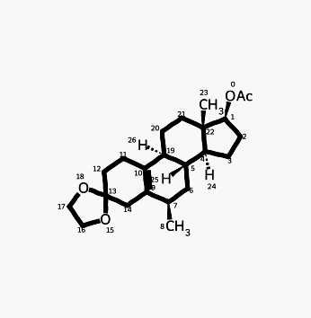 CC(=O)O[C@H]1CC[C@H]2[C@@H]3C[C@@H](C)C4=C(CCC5(C4)OCCO5)[C@H]3CC[C@]12C